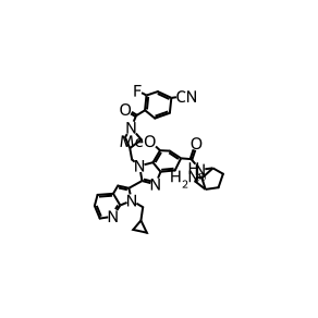 COc1cc(C(=O)N2CC3CCC2[C@@H]3N)cc2nc(-c3cc4cccnc4n3CC3CC3)n(CC3CN(C(=O)c4ccc(C#N)cc4F)C3)c12